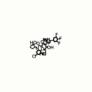 CC(=O)O[C@@H]1[C@@H](n2cc(-c3cc(F)c(F)c(F)c3)nn2)[C@@H](O)[C@@H](CO)O[C@H]1C(=O)N(c1cc(Cl)cc(Cl)c1)C1CCC[C@@H]1O